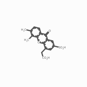 Cc1ccc2c(=O)c3cc(S(=O)(=O)O)cc(CC(=O)O)c3oc2c1C